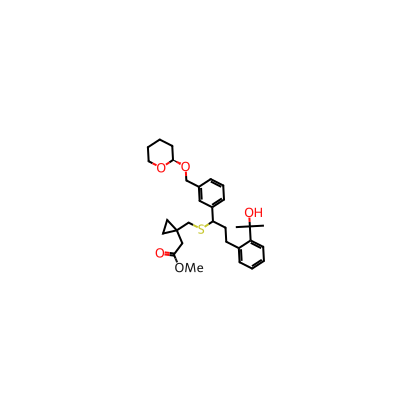 COC(=O)CC1(CSC(CCc2ccccc2C(C)(C)O)c2cccc(CO[C@@H]3CCCCO3)c2)CC1